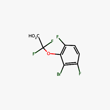 O=C(O)C(F)(F)Oc1c(F)ccc(F)c1Br